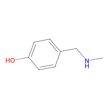 CNCc1ccc(O)cc1